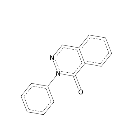 O=c1c2ccccc2cnn1-c1ccccc1